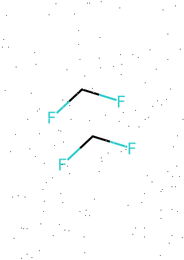 FCF.FCF